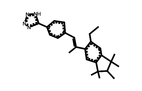 CCc1cc2c(cc1C(C)=Cc1ccc(-c3nnn[nH]3)cc1)C(C)(C)C(C)C2(C)C